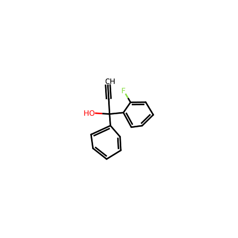 C#CC(O)(c1ccccc1)c1ccccc1F